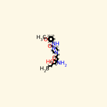 BCCCCC(N)(CCCN1CCN(C(=O)Nc2cccc(OC)c2)CC1)C(=O)O